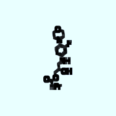 CCCC(=O)OC[C@H](O)CNc1ccc(N2CCOCC2)c(F)c1